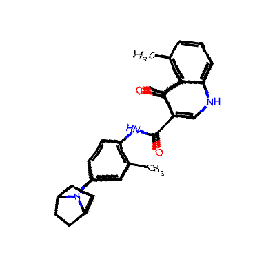 Cc1cc(N2C3CCC2CC3)ccc1NC(=O)c1c[nH]c2cccc(C)c2c1=O